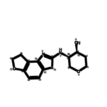 O[C@H]1CCOC[C@H]1Nc1nc2c3c(ccc2s1)OCC3